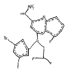 NNc1nc(N(CC(F)F)c2cc(F)cc(Br)c2)c2c(F)cccc2n1